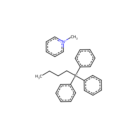 CCCC[B-](c1ccccc1)(c1ccccc1)c1ccccc1.C[n+]1ccccc1